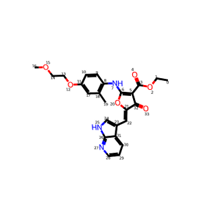 CCOC(=O)C1=C(Nc2ccc(OCCOC)cc2C)OC(=Cc2c[nH]c3ncccc23)C1=O